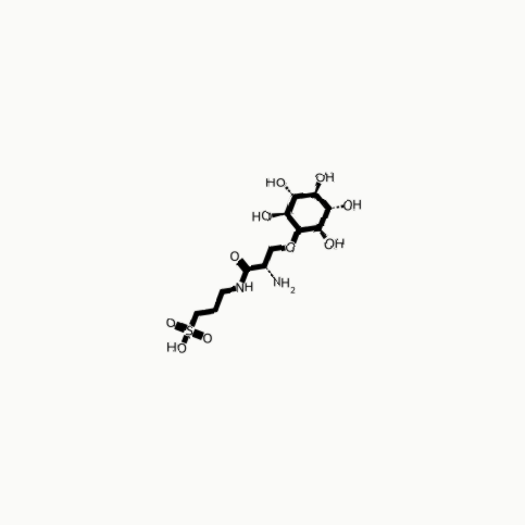 N[C@@H](COC1[C@@H](O)[C@H](O)[C@@H](O)[C@H](O)[C@H]1O)C(=O)NCCCS(=O)(=O)O